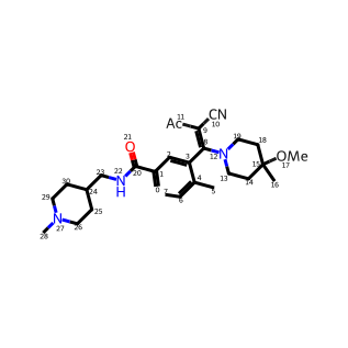 C=C(/C=C(C(\C)=C/C)/C(=C(/C#N)C(C)=O)N1CCC(C)(OC)CC1)C(=O)NCC1CCN(C)CC1